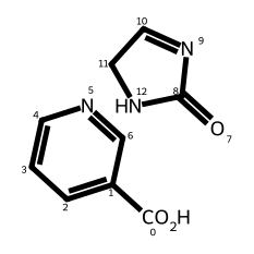 O=C(O)c1cccnc1.O=C1N=CCN1